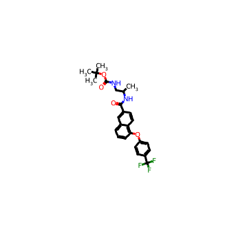 CC(CNC(=O)OC(C)(C)C)NC(=O)c1ccc2c(Oc3ccc(C(F)(F)F)cc3)cccc2c1